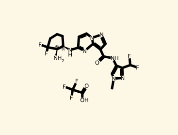 Cn1cc(NC(=O)c2cnn3ccc(N[C@@H]4CCCC(F)(F)[C@@H]4N)nc23)c(C(F)F)n1.O=C(O)C(F)(F)F